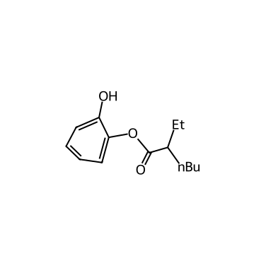 CCCCC(CC)C(=O)Oc1ccccc1O